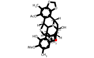 COc1c(C)cc2c(c1O)[C@@H]1C3[C@@H]4SCC(NC(C)=O)C(=O)OC[C@@H](c5c6c(c(C)c(OC(C)=O)c54)OCO6)N3[C@@H](O)[C@H](C2)N1C